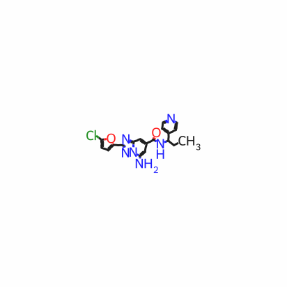 CCC(NC(=O)c1cc(N)n2nc(-c3ccc(Cl)o3)nc2c1)c1ccncc1